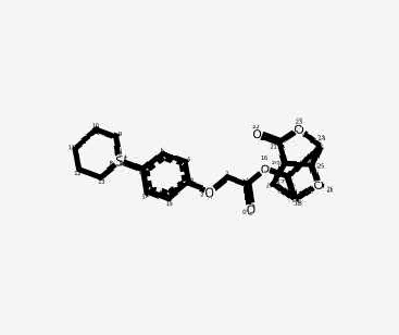 O=C(COc1ccc([S+]2CCCCC2)cc1)OC1C2CC3C(=O)OC1C3O2